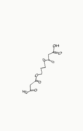 O=C(O)CC(=O)OCCCOC(=O)CC(=O)O